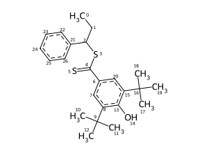 CCC(SC(=S)c1cc(C(C)(C)C)c(O)c(C(C)(C)C)c1)c1ccccc1